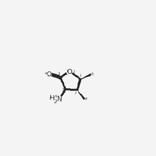 C[C@@H]1OC(=O)C(N)[C@@H]1C